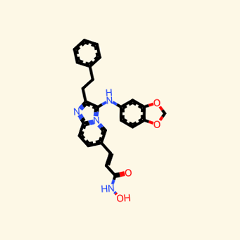 O=C(/C=C/c1ccc2nc(CCc3ccccc3)c(Nc3ccc4c(c3)OCO4)n2c1)NO